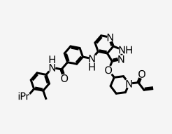 C=CC(=O)N1CCCC(Oc2n[nH]c3nccc(Nc4cccc(C(=O)Nc5ccc(C(C)C)c(C)c5)c4)c23)C1